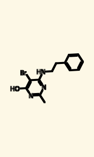 Cc1nc(O)c(Br)c(NCCc2ccccc2)n1